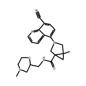 CN1CCOC(CNC(=O)C23CN(c4ccc(C#N)c5ncccc45)CC2(C)C3)C1